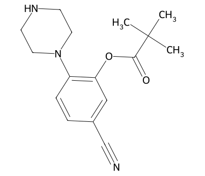 CC(C)(C)C(=O)Oc1cc(C#N)ccc1N1CCNCC1